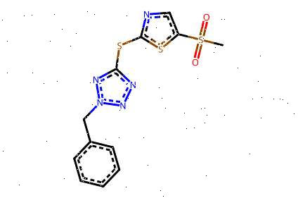 CS(=O)(=O)c1cnc(Sc2nnn(Cc3ccccc3)n2)s1